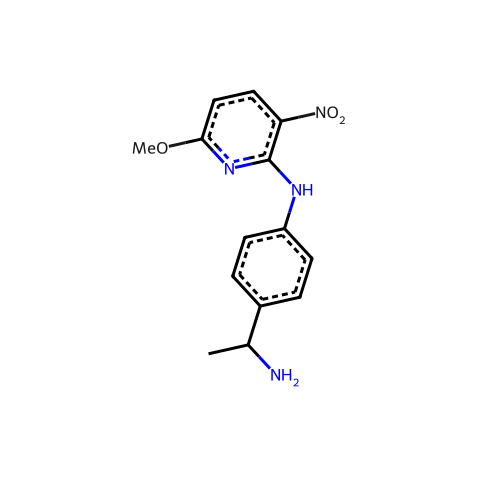 COc1ccc([N+](=O)[O-])c(Nc2ccc(C(C)N)cc2)n1